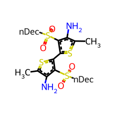 CCCCCCCCCCS(=O)(=O)c1c(-c2sc(C)c(N)c2S(=O)(=O)CCCCCCCCCC)sc(C)c1N